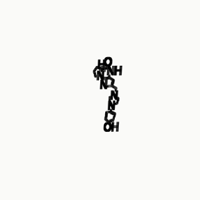 O=C1Nc2cc(CN3CCN(c4ccc(O)cc4)CC3)cnc2N2CCC[C@@H]12